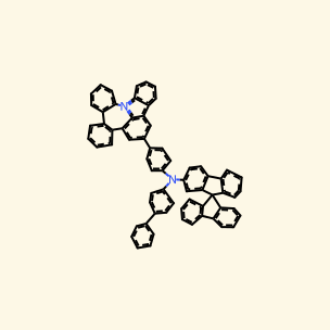 c1ccc(-c2ccc(N(c3ccc(-c4cc5c6c(c4)c4ccccc4n6-c4ccccc4-c4ccccc4-5)cc3)c3ccc4c(c3)C3(c5ccccc5-c5ccccc53)c3ccccc3-4)cc2)cc1